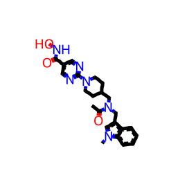 CC(=O)N(Cc1cn(C)c2ccccc12)CC1CCN(c2ncc(C(=O)NO)cn2)CC1